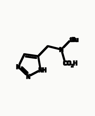 CC(C)(C)N(Cc1cnn[nH]1)C(=O)O